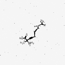 CC(=N)NCCCC#CC(C)(N)C(=O)O